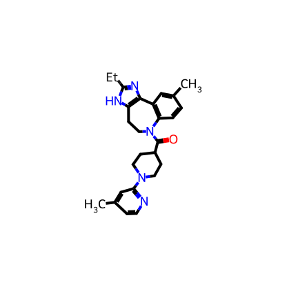 CCc1nc2c([nH]1)CCN(C(=O)C1CCN(c3cc(C)ccn3)CC1)c1ccc(C)cc1-2